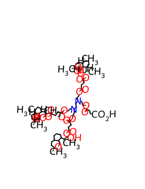 C[C@H]1[C@H](OC(=O)CCC(=O)OCCN(CCOC(=O)CCC(=O)O)CCN(CCOC(=O)CCC(=O)O[C@@H]2O[C@@H]3O[C@@]4(C)CC[C@H]5[C@H](C)CC[C@@H]([C@H]2C)[C@@]35OO4)CCOC(=O)CCC(=O)O[C@H](O)[C@H](C)C2CCCC3CC[C@H](C)OCC32)O[C@@H]2O[C@@]3(C)CC[C@H]4[C@H](C)CC[C@@H]1[C@@]24OO3